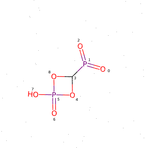 O=P(=O)C1OP(=O)(O)O1